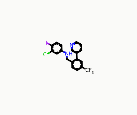 FC(F)(F)c1ccc(CNc2ccc(I)c(Cl)c2)c(-c2cccnc2)c1